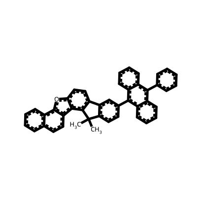 CC1(C)c2ccc(-c3c4ccccc4c(-c4ccccc4)c4ccccc34)cc2-c2ccc3oc4c5ccccc5ccc4c3c21